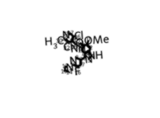 COc1cc2[nH]nc(-c3cnc(N4CCC4)c(F)c3)c2cc1O[C@H](N)c1c(Cl)cnc(C)c1Cl